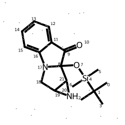 CC(C)(C)[Si](C)(C)OC12C(=O)c3ccccc3N1CC1NC12